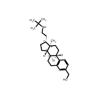 CC(C)(C)NCC[C@H]1CC[C@H]2[C@@H]3CCc4cc(CO)ccc4[C@H]3CC[C@]12C